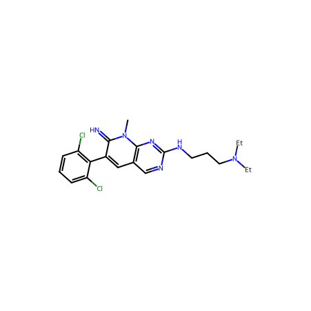 CCN(CC)CCCNc1ncc2cc(-c3c(Cl)cccc3Cl)c(=N)n(C)c2n1